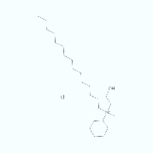 CCCCCCCCCCCCCCC[N+](C)(CCO)C1CCCCC1.[Cl-]